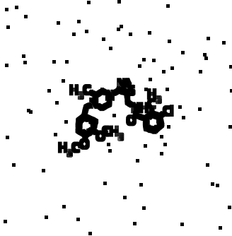 COc1ccc(CN2CCN(c3ncsc3CNC(=O)c3cccc(Cl)c3C)CC2C)cc1OC